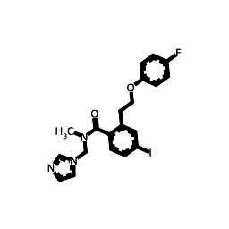 CN(Cn1ccnc1)C(=O)c1ccc(I)cc1CCOc1ccc(F)cc1